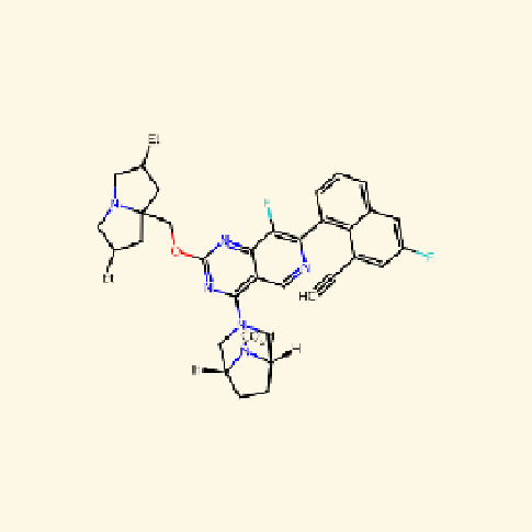 C#Cc1cc(F)cc2cccc(-c3ncc4c(N5C[C@H]6CC[C@@H](C5)N6C(=O)O)nc(OCC56CC(CC)CN5CC(CC)C6)nc4c3F)c12